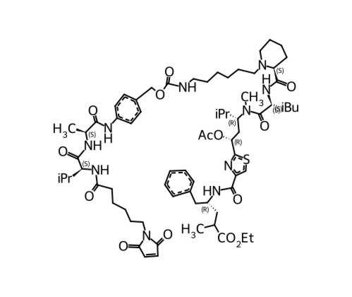 CCOC(=O)C(C)C[C@H](Cc1ccccc1)NC(=O)c1csc([C@@H](C[C@H](C(C)C)N(C)C(=O)[C@@H](NC(=O)[C@@H]2CCCCN2CCCCCCNC(=O)OCc2ccc(NC(=O)[C@H](C)NC(=O)[C@@H](NC(=O)CCCCCN3C(=O)C=CC3=O)C(C)C)cc2)[C@@H](C)CC)OC(C)=O)n1